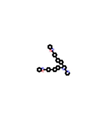 c1ccc(-c2ccc(-c3ccc4cc(-c5ccc(-c6nc7ccccc7o6)cc5)ccc4c3)c(-c3ccc4cc(-c5ccc(-c6nc7ccccc7o6)cc5)ccc4c3)n2)nc1